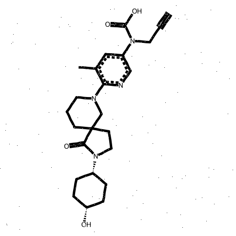 C#CCN(C(=O)O)c1cnc(N2CCCC3(CCN([C@H]4CC[C@@H](O)CC4)C3=O)C2)c(C)c1